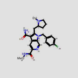 CCN1CCCC1Cc1c(C(N)=O)c2cc(C(=O)NOC)ncc2n1Cc1ccc(F)cc1